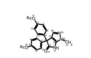 CC(=O)Oc1ccc(C2(c3ccc(OC(C)=O)cc3)C(=O)Nc3c2cnn3C)cc1